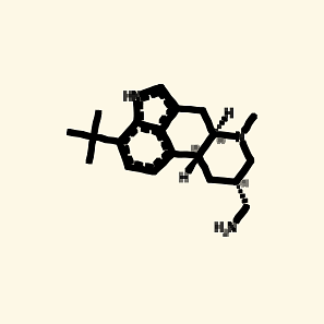 CN1C[C@H](CN)C[C@@H]2c3ccc(C(C)(C)C)c4[nH]cc(c34)C[C@H]21